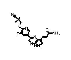 CC(C)(C#N)COc1ncc(-c2cnc3[nH]cc(/C=C/C(N)=O)c3n2)cc1F